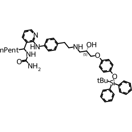 CCCCCC(NC(N)=O)c1cccnc1Nc1ccc(CCNC[C@H](O)COc2ccc(O[Si](c3ccccc3)(c3ccccc3)C(C)(C)C)cc2)cc1